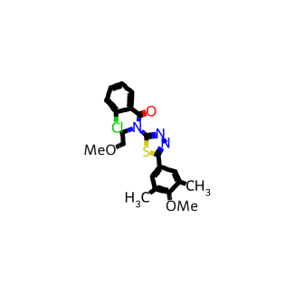 COCCN(C(=O)c1ccccc1Cl)c1nnc(-c2cc(C)c(OC)c(C)c2)s1